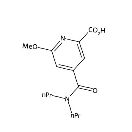 CCCN(CCC)C(=O)c1cc(OC)nc(C(=O)O)c1